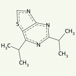 CC(C)c1nc(C(C)C)c2scnc2n1